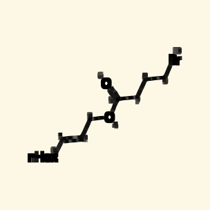 CCCCCCC=CCOC(=O)CCCBr